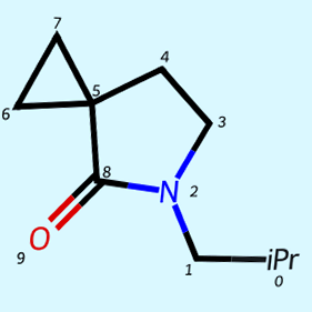 CC(C)CN1CCC2(CC2)C1=O